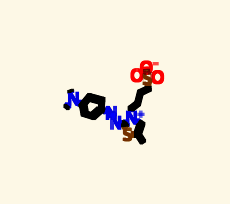 Cc1c[n+](CCCCS(=O)(=O)[O-])c(/N=N/c2ccc(N(C)C)cc2)s1